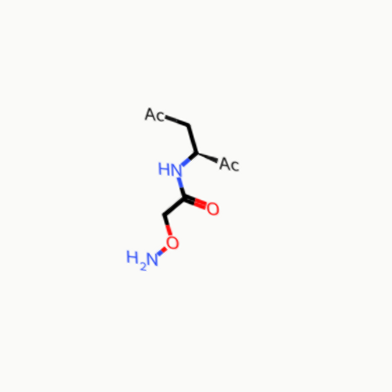 CC(=O)C[C@H](NC(=O)CON)C(C)=O